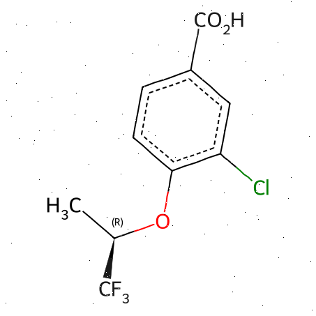 C[C@@H](Oc1ccc(C(=O)O)cc1Cl)C(F)(F)F